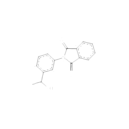 CC(O)c1cccc(N2C(=O)c3ccccc3C2=O)c1